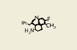 Cc1c(F)cc2ncc(CC(C)C)c3c2c1CC[C@@H]3N